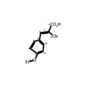 CCOc1ccc(/C=C(\C#N)C(=O)O)cc1